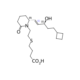 O=C(O)CCCSCCN1C(=O)CCC[C@@H]1/C=C/[C@@H](O)CCC1CCC1